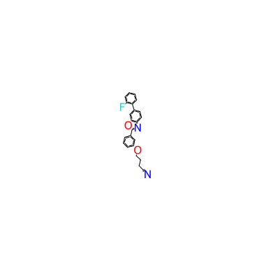 N#CCCCOc1cccc(-c2nc3ccc(-c4ccccc4F)cc3o2)c1